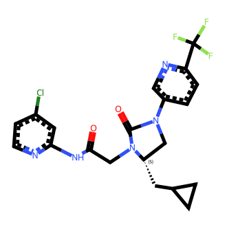 O=C(CN1C(=O)N(c2ccc(C(F)(F)F)nc2)C[C@@H]1CC1CC1)Nc1cc(Cl)ccn1